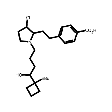 CCCCC1(C(O)CCCN2CCC(Cl)C2CCc2ccc(C(=O)O)cc2)CCC1